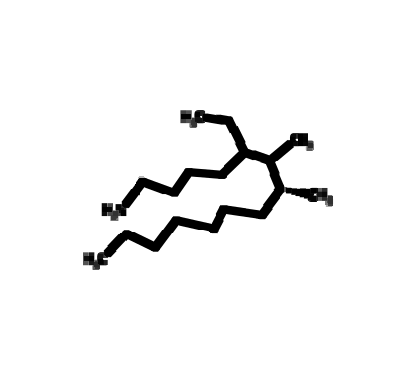 CCCCCCC[C@@H](C)C(C)C(CC)CCCCN